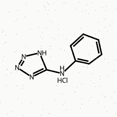 Cl.c1ccc(Nc2nnn[nH]2)cc1